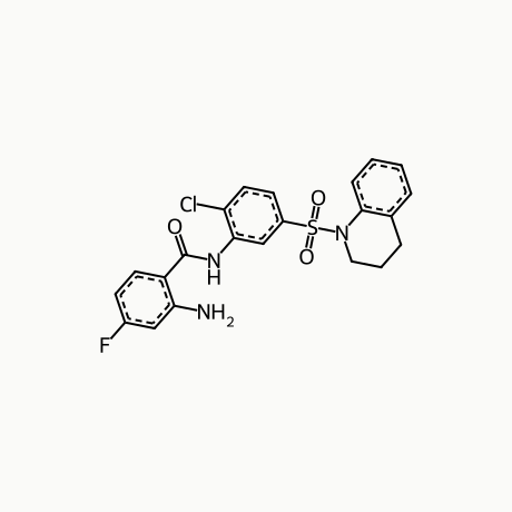 Nc1cc(F)ccc1C(=O)Nc1cc(S(=O)(=O)N2CCCc3ccccc32)ccc1Cl